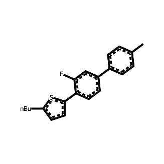 CCCCc1ccc(-c2ccc(-c3ccc(C)cc3)cc2F)s1